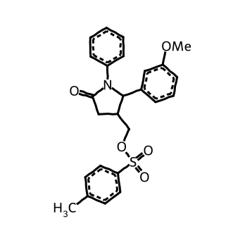 COc1cccc(C2C(COS(=O)(=O)c3ccc(C)cc3)CC(=O)N2c2ccccc2)c1